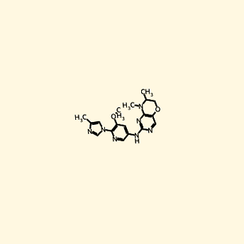 COc1cc(Nc2ncc3c(n2)N(C)C(C)CO3)cnc1-n1cnc(C)c1